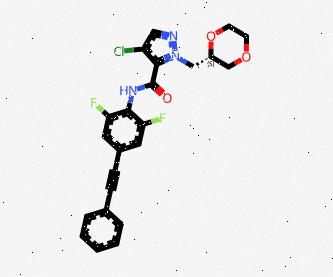 O=C(Nc1c(F)cc(C#Cc2ccccc2)cc1F)c1c(Cl)cnn1C[C@H]1COCCO1